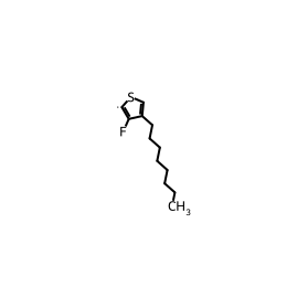 CCCCCCCCc1cs[c]c1F